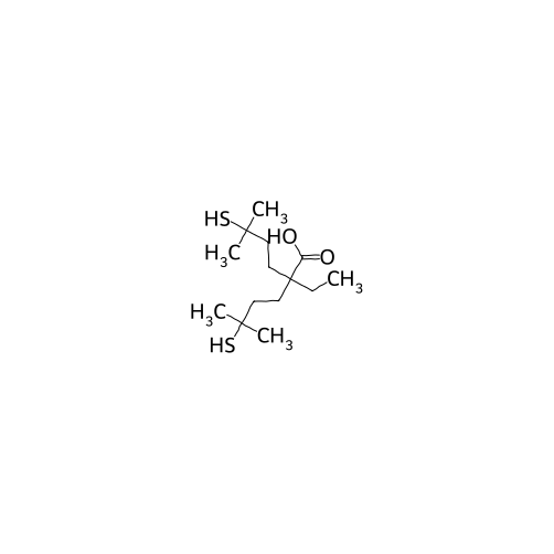 CCC(CCC(C)(C)S)(CCC(C)(C)S)C(=O)O